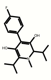 CC(C)C1=C(O)C(c2ccc(F)cc2)=C(O)C(C(C)C)N1C